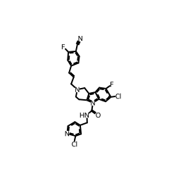 N#Cc1ccc(C=CCN2CCc3c(c4cc(F)c(Cl)cc4n3C(=O)NCc3ccnc(Cl)c3)C2)cc1F